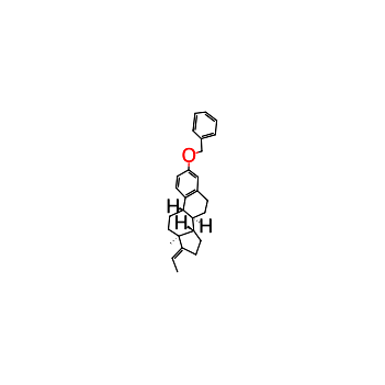 CC=C1CC[C@H]2[C@@H]3CCc4cc(OCc5ccccc5)ccc4[C@H]3CC[C@]12C